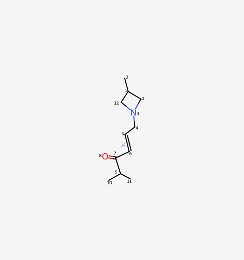 CC1CN(C/C=C/C(=O)C(C)C)C1